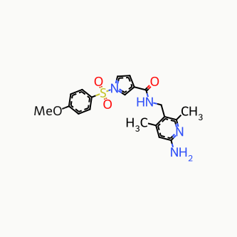 COc1ccc(S(=O)(=O)n2ccc(C(=O)NCc3c(C)cc(N)nc3C)c2)cc1